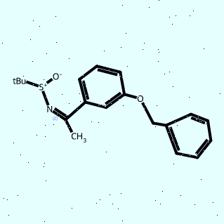 C/C(=N/[S+]([O-])C(C)(C)C)c1cccc(OCc2ccccc2)c1